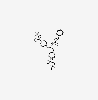 CC(C)(C)OC(=O)N1CCC(CC(CC2CCN(C(=O)OC(C)(C)C)CC2)NC(=O)OCc2ccccc2)CC1